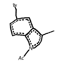 CC(=O)n1cc(C)c2cc(Br)ccc21